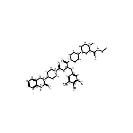 CCOC(=O)C1CN(C2CCN(C(=O)C(CC(=O)N3CCC(N4Cc5ccccc5NC4=O)CC3)Cc3cc(Cl)c(Br)c(Cl)c3)CC2)CCN1C